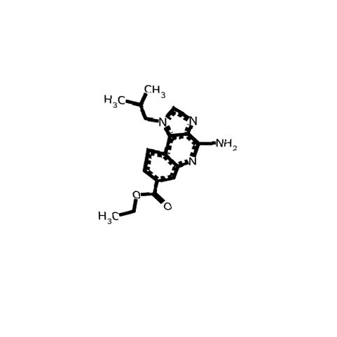 CCOC(=O)c1ccc2c(c1)nc(N)c1ncn(CC(C)C)c12